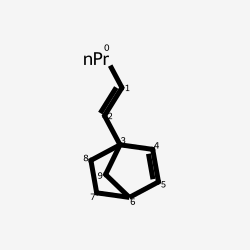 CCCC=CC12C=CC(CC1)C2